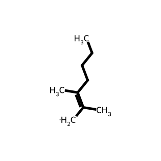 [CH2]/C(C)=C(\C)CCCC